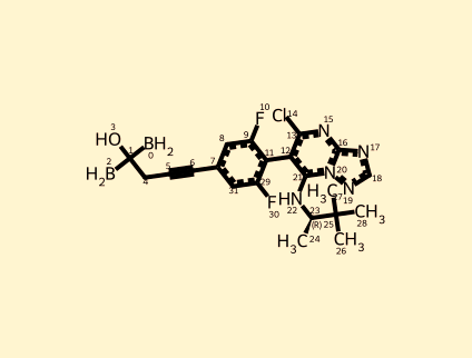 BC(B)(O)CC#Cc1cc(F)c(-c2c(Cl)nc3ncnn3c2N[C@H](C)C(C)(C)C)c(F)c1